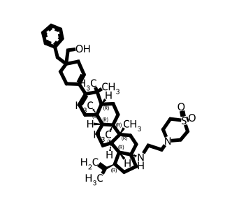 C=C(C)[C@@H]1CC[C@]2(NCCN3CCS(=O)(=O)CC3)CC[C@]3(C)[C@H](CC[C@@H]4[C@@]5(C)CC=C(C6=CCC(CO)(Cc7ccccc7)CC6)C(C)(C)[C@@H]5CC[C@]43C)[C@@H]12